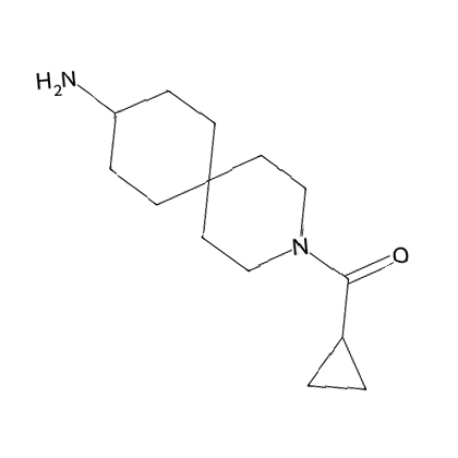 NC1CCC2(CC1)CCN(C(=O)C1CC1)CC2